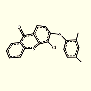 Cc1ccc(Sc2ccc3c(=O)c4ccccc4sc3c2Cl)c(C)c1